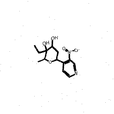 CCC1(O)C(O)CC(c2ccncc2[N+](=O)[O-])OC1C